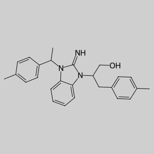 Cc1ccc(CC(CO)n2c(=N)n(C(C)c3ccc(C)cc3)c3ccccc32)cc1